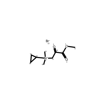 COC(=O)C(=O)C[N+](C)(C)C1CC1.[Br-]